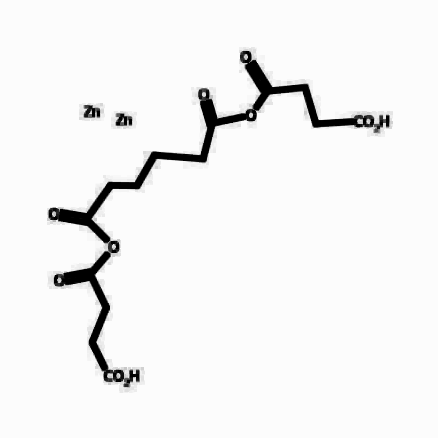 O=C(O)CCC(=O)OC(=O)CCCCC(=O)OC(=O)CCC(=O)O.[Zn].[Zn]